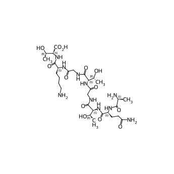 C[C@H](N)C(=O)N[C@@H](CCC(N)=O)C(=O)N[C@H](C(=O)NCC(=O)N[C@H](C(=O)NCC(=O)N[C@@H](CCCCN)C(=O)N[C@H](C(=O)O)[C@@H](C)O)[C@@H](C)O)[C@@H](C)O